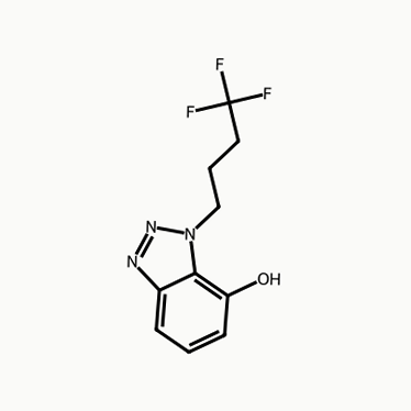 Oc1cccc2nnn(CCCC(F)(F)F)c12